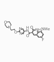 CNc1cc(F)cc2cc(C(=O)Nc3cnc(OCCN4CCOCC4)nc3)c(=O)[nH]c12